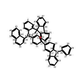 CC1(c2ccccc2N(c2ccc(-c3ccc4c(c3)c3ccccc3n4-c3ccccc3)cc2)c2cccc3ccccc23)c2ccccc2-c2ccccc21